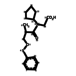 CC(COSc1ccccc1)C(=O)N(CC(=O)O)C1CCCC1